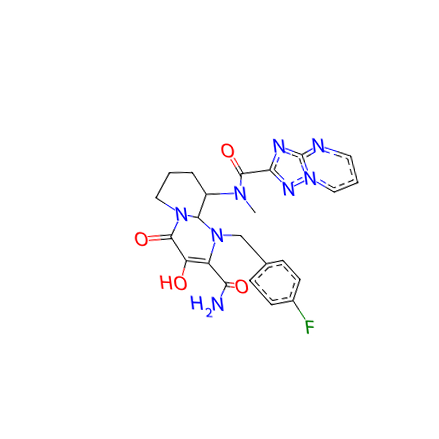 CN(C(=O)c1nc2ncccn2n1)C1CCCN2C(=O)C(O)=C(C(N)=O)N(Cc3ccc(F)cc3)C12